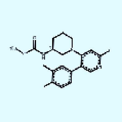 Cc1cc(-c2cnc(Cl)cc2N2CCC[C@H](NC(=O)OC(C)(C)C)C2)ccc1F